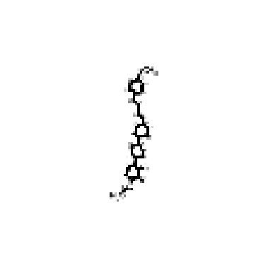 CCOc1ccc(C2CCC(C3CCC(/C=C/CCc4ccc(CC)cc4)CC3)CC2)c(F)c1F